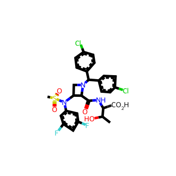 CC(O)C(NC(=O)C1C(N(c2cc(F)cc(F)c2)S(C)(=O)=O)CN1C(c1ccc(Cl)cc1)c1ccc(Cl)cc1)C(=O)O